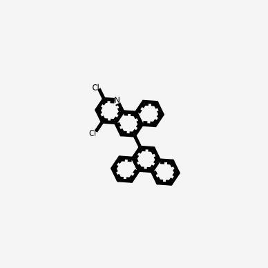 Clc1cc(Cl)c2cc(-c3cc4ccccc4c4ccccc34)c3ccccc3c2n1